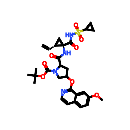 C=C[C@@H]1C[C@]1(NC(=O)C1CC(Oc2nccc3ccc(OC)cc23)CN1C(=O)OC(C)(C)C)C(=O)NS(=O)(=O)C1CC1